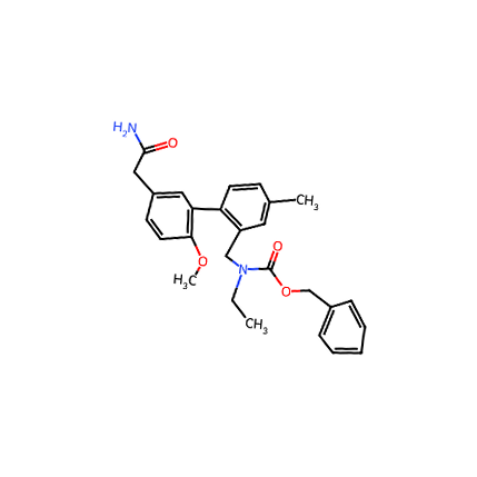 CCN(Cc1cc(C)ccc1-c1cc(CC(N)=O)ccc1OC)C(=O)OCc1ccccc1